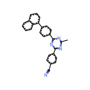 Cc1nc(-c2ccc(C#N)cc2)nc(-c2ccc(-c3cccc4ccccc34)cc2)n1